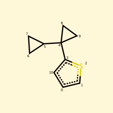 c1csc(C2(C3CC3)CC2)c1